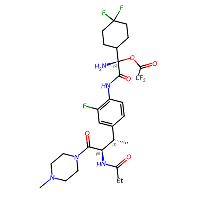 CCC(=O)N[C@@H](C(=O)N1CCN(C)CC1)[C@@H](C)c1ccc(NC(=O)[C@@](N)(OC(=O)C(F)(F)F)C2CCC(F)(F)CC2)c(F)c1